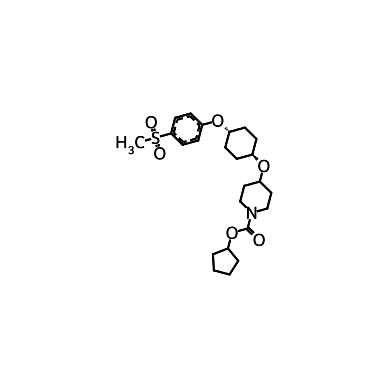 CS(=O)(=O)c1ccc(O[C@H]2CC[C@H](OC3CCN(C(=O)OC4CCCC4)CC3)CC2)cc1